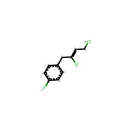 Fc1ccc(CC(Cl)=CCCl)cc1